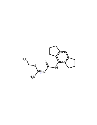 CCS/C(N)=N\C(=S)Nc1c2c(cc3c1CCC3)CCC2